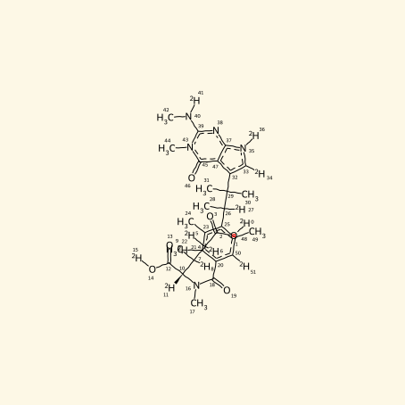 [2H]OC(=O)C([2H])([2H])C([2H])(C)[C@@]([2H])(C(=O)O[2H])N(C)C(=O)c1c([2H])c(C)c(C([2H])(C)C(C)(C)c2c([2H])n([2H])c3nc(N([2H])C)n(C)c(=O)c23)c(C)c1[2H]